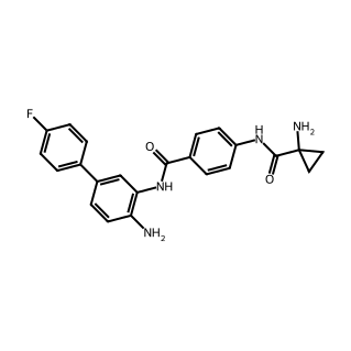 Nc1ccc(-c2ccc(F)cc2)cc1NC(=O)c1ccc(NC(=O)C2(N)CC2)cc1